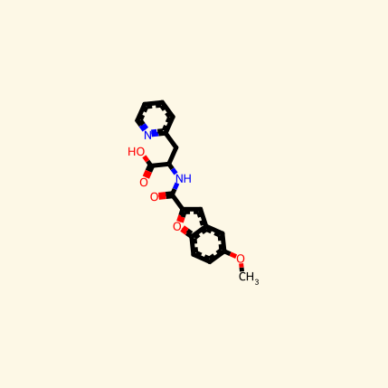 COc1ccc2oc(C(=O)NC(Cc3ccccn3)C(=O)O)cc2c1